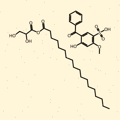 CCCCCCCCCCCCCCCCCC(=O)OC(=O)C(O)CO.COc1cc(O)c(C(=O)c2ccccc2)cc1S(=O)(=O)O